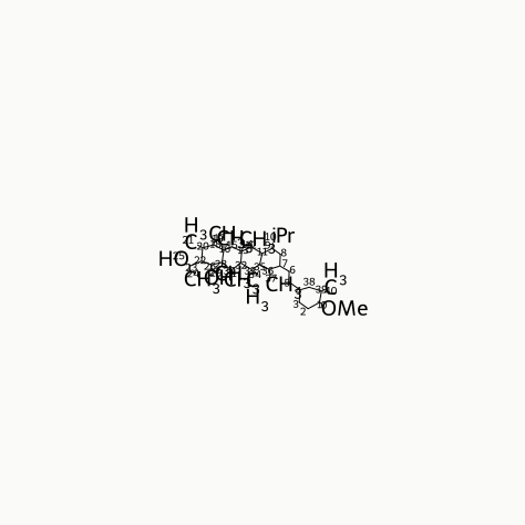 COC1CCC(CCC2CC(C(C)C)C3CC4(C)CC5(C)C(C)C(C)C(C(C)O)C(O)C5(C)C(C)C4C(C)C3C2C)CC1C